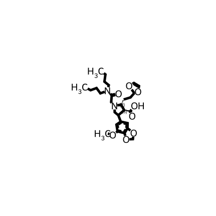 CCCCN(CCCC)C(=O)CN1CC(c2cc(OC)c3c(c2)OCO3)[C@H](C(=O)O)[C@H]1CCC1OC=CO1